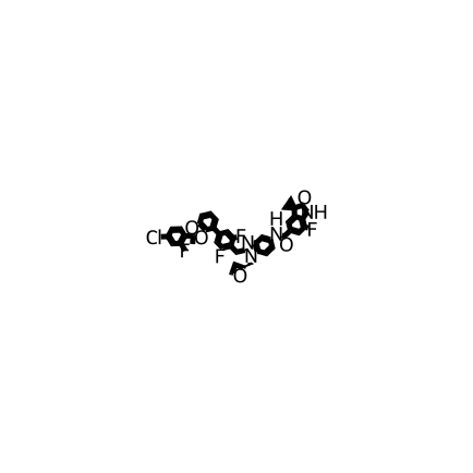 CC1(c2ccc(Cl)cc2F)Oc2cccc(-c3cc(F)c(Cc4nc5cc(NC(=O)c6cc(F)c7c(c6)C6(CC6)C(=O)N7)ccc5n4C[C@@H]4CCO4)c(F)c3)c2O1